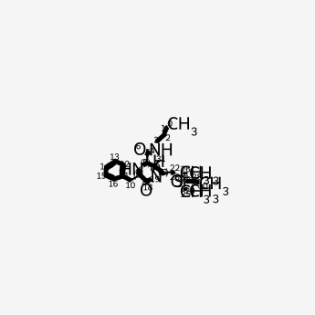 CCCCNC(=O)[C@@H]1N[C@H](Cc2ccccc2)C(=O)N2[C@H]1[C@H]2CO[Si](C)(C)C(C)(C)C